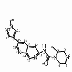 CC1CN(C)CCN1C(=O)Nc1cc2cc(-c3cnn(C)c3)cnc2cn1